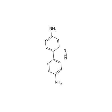 N#N.Nc1ccc(-c2ccc(N)cc2)cc1